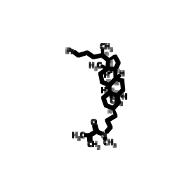 C=C(C)C(=O)N(C)CCC[C@H]1CC[C@@]2(C)[C@@H](CC[C@@H]3[C@@H]2CC[C@]2(C)[C@@H]([C@H](C)CCCC(C)C)CC[C@@H]32)C1